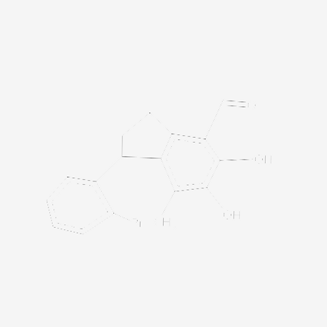 Cc1c(O)c(O)c(C=O)c2c1C(c1ccccc1Br)CC2